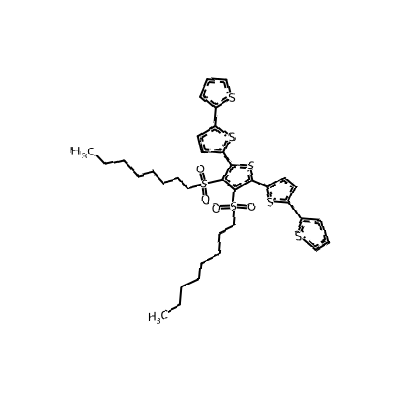 CCCCCCCCS(=O)(=O)c1c(-c2ccc(-c3cccs3)s2)sc(-c2ccc(-c3cccs3)s2)c1S(=O)(=O)CCCCCCCC